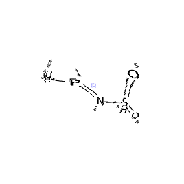 [3H]/P=N/[SH](=O)=O